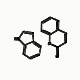 O=c1ccc2ccccc2o1.c1ccc2[nH]ccc2c1